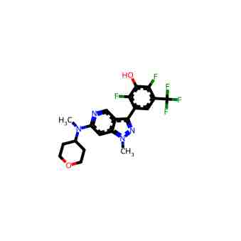 CN(c1cc2c(cn1)c(-c1cc(C(F)(F)F)c(F)c(O)c1F)nn2C)C1CCOCC1